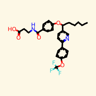 CCCCCC(Oc1ccc(C(=O)NCCC(=O)O)cc1)c1ccc(-c2ccc(OC(F)(F)F)cc2)nc1